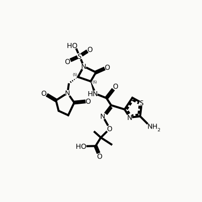 CC(C)(ON=C(C(=O)N[C@@H]1C(=O)N(S(=O)(=O)O)[C@H]1CN1C(=O)CCC1=O)c1csc(N)n1)C(=O)O